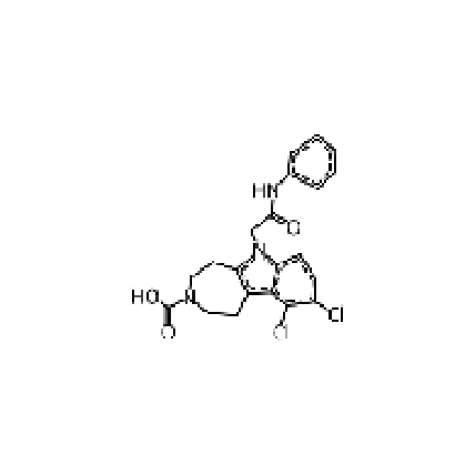 O=C(Cn1c2c(c3c(Cl)c(Cl)ccc31)CCN(C(=O)O)CC2)Nc1ccccc1